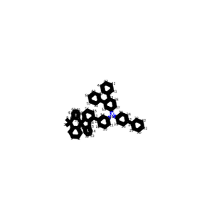 CC1(C)c2ccccc2C2(c3ccccc3-c3c(-c4cccc(N(c5ccc(-c6ccccc6)cc5)c5ccc(-c6ccccc6)c(-c6ccccc6)c5)c4)cccc32)c2ccccc21